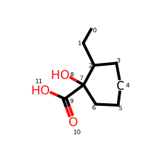 CCC1CCCCC1(O)C(=O)O